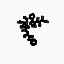 CCCC(NC(=O)[C@@H]1CCCN1C(=O)[C@@H](NC(=O)NC(C)(C)C)C(C)(C)C)C(=O)C(=O)NCC(=O)NCc1ccccc1